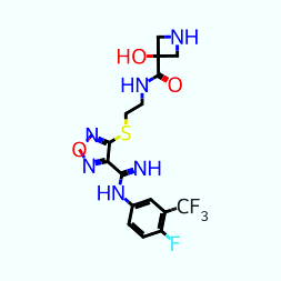 N=C(Nc1ccc(F)c(C(F)(F)F)c1)c1nonc1SCCNC(=O)C1(O)CNC1